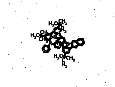 CC(C)(C)c1cc(N(c2ccccc2)c2ccccc2)c2c(c1)c1cc(C(C)(C)C)cc3c4cc5c(nc4n2c31)c1cc(C(C)(C)C)cc2c3cc4ccccc4cc3n5c21